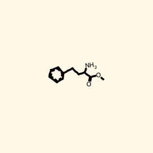 COC(=O)C(N)CCc1ccccc1